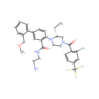 CC[C@@H]1CN(C(=O)c2ccc(C(F)(F)F)cc2Cl)CCN1c1ccc(-c2ccccc2COC)cc1C(=O)NCCN